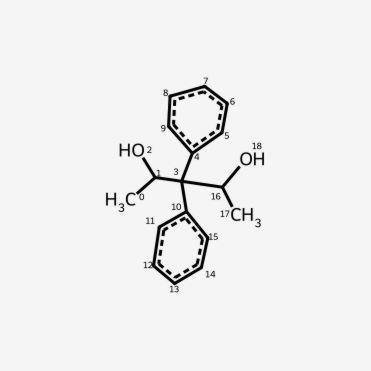 CC(O)C(c1ccccc1)(c1ccccc1)C(C)O